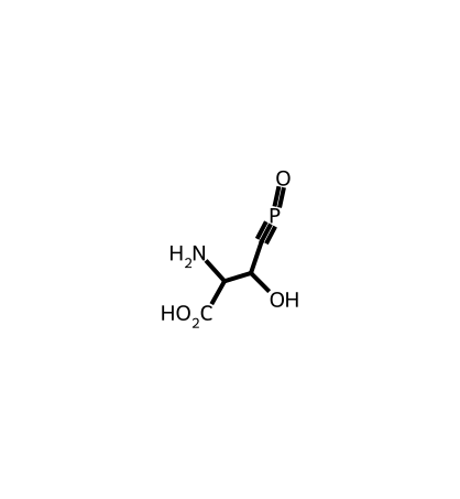 NC(C(=O)O)C(O)C#P=O